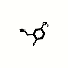 CC(C)(C)Cc1cc(C(F)(F)F)ccc1F